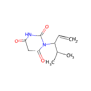 C=CC(C(C)C)N1C(=O)CC(=O)NC1=O